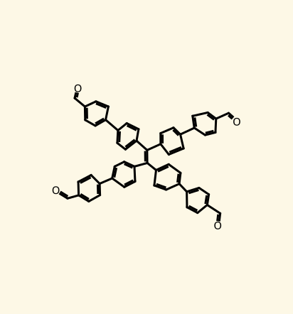 O=Cc1ccc(-c2ccc(C(=C(c3ccc(-c4ccc(C=O)cc4)cc3)c3ccc(-c4ccc(C=O)cc4)cc3)c3ccc(-c4ccc(C=O)cc4)cc3)cc2)cc1